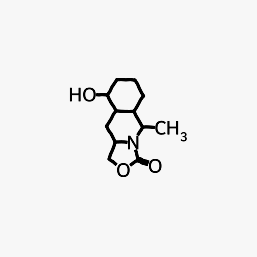 CC1C2CCCC(O)C2CC2COC(=O)N21